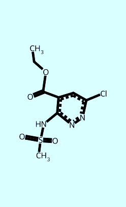 CCOC(=O)c1cc(Cl)nnc1NS(C)(=O)=O